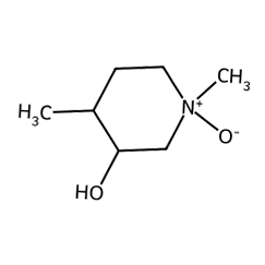 CC1CC[N+](C)([O-])CC1O